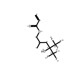 C=CC(=O)OCC(C)CC(O)(C(F)(F)F)C(F)(F)F